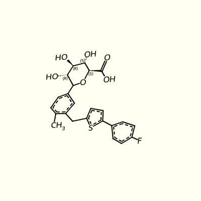 Cc1ccc(C2O[C@H](C(=O)O)[C@@H](O)[C@H](O)[C@H]2O)cc1Cc1ccc(-c2ccc(F)cc2)s1